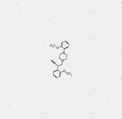 COc1ccccc1C(C#N)CN1CCN(c2ccccc2OC)CC1